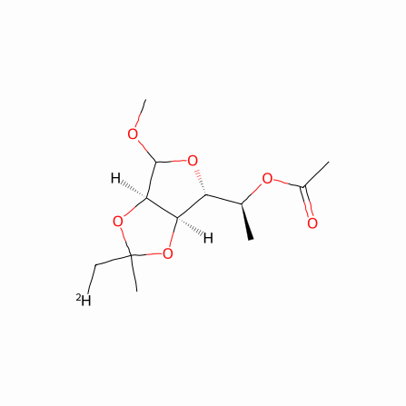 [2H]CC1(C)O[C@@H]2[C@@H]([C@H](C)OC(C)=O)OC(OC)[C@@H]2O1